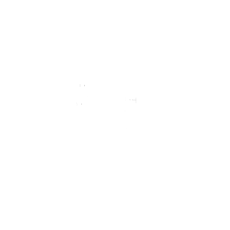 OC(c1ccccc1)(c1ccccc1)C1CCC2(CC1)OCCO2